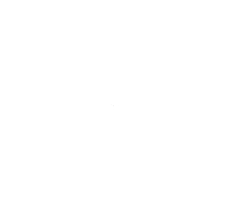 Cc1cnc2c(c1)oc1ccc3ccccc3c12